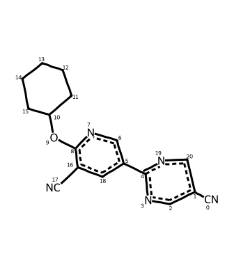 N#Cc1cnc(-c2cnc(OC3CCCCC3)c(C#N)c2)nc1